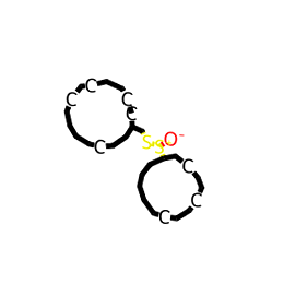 [O-][S+](SCC1CCCCCCCCCCCCCC1)C1CCCCCCCCCCCCC1